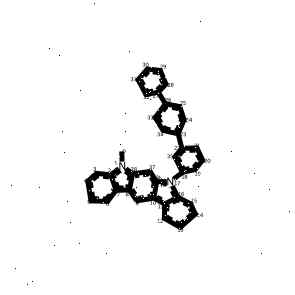 Cn1c2ccccc2c2cc3c4ccccc4n(-c4cccc(-c5ccc(-c6ccccc6)cc5)c4)c3cc21